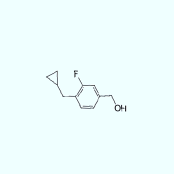 OCc1ccc(CC2CC2)c(F)c1